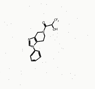 O=C(C(O)C(F)(F)F)N1CCc2c(ncn2-c2ccccc2)C1